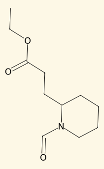 CCOC(=O)CCC1CCCCN1C=O